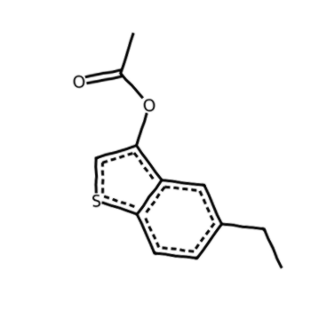 CCc1ccc2scc(OC(C)=O)c2c1